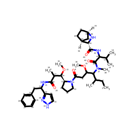 CCC(C)C(C(CC(=O)N1CCC[C@H]1C(OC)C(C)C(=O)NC(Cc1ccccc1)c1cc[nH]n1)OC)N(C)C(=O)C(NC(=O)[C@H]1N[C@@H]2CC[C@H]1C2)C(C)C